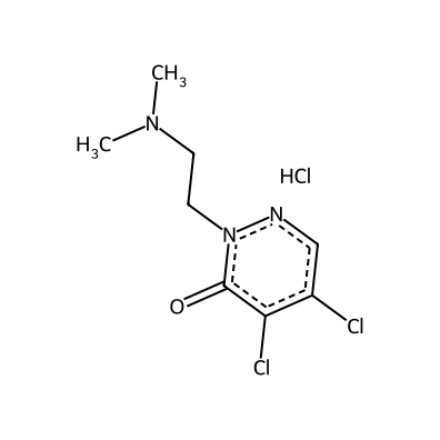 CN(C)CCn1ncc(Cl)c(Cl)c1=O.Cl